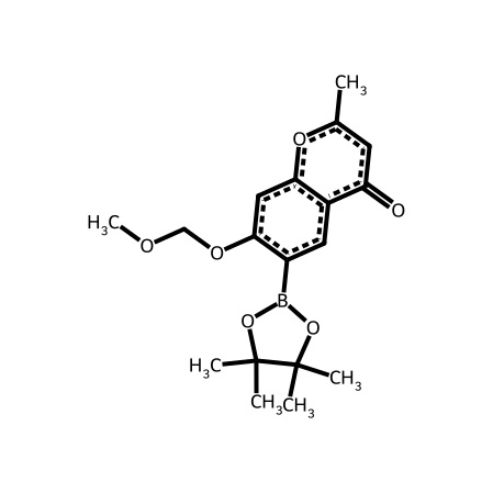 COCOc1cc2oc(C)cc(=O)c2cc1B1OC(C)(C)C(C)(C)O1